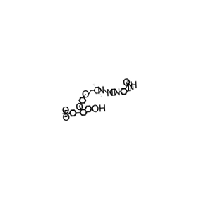 [2H]N1Cc2ccc(N3CCN(CCN4C[C@@H](C)C(CCOc5ccc(Oc6c(-c7ccc(S(C)(=O)=O)cc7)ccc7cc(O)ccc67)cc5)C[C@H]4C)CC3)cc2C1=O